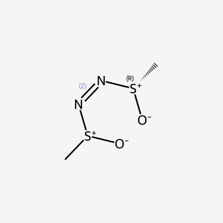 C[S+]([O-])/N=N\[S@+](C)[O-]